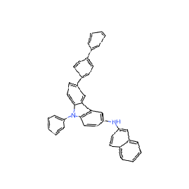 c1ccc(-c2ccc(-c3ccc4c(c3)c3cc(Nc5ccc6ccccc6c5)ccc3n4-c3ccccc3)cc2)cc1